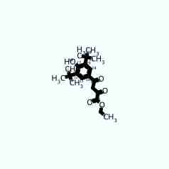 CCOC(=O)C(=O)CC(=O)c1cc(C(C)(C)C)c(O)c(C(C)(C)C)c1